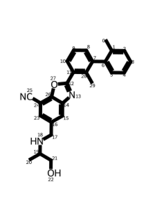 Cc1ccccc1-c1cccc(-c2nc3cc(CNC(C)CO)cc(C#N)c3o2)c1C